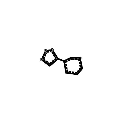 [c]1cccc(-c2cnno2)c1